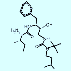 CC[C@H](C)[C@H](N)C(=O)N[C@@H](Cc1ccccc1)[C@H](O)CNC(=O)N(CCC(C)C)C(C)(C)C